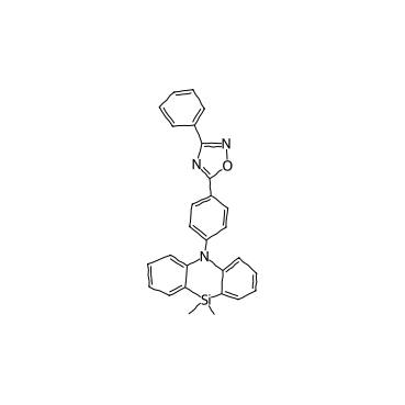 C[Si]1(C)c2ccccc2N(c2ccc(-c3nc(-c4ccccc4)no3)cc2)c2ccccc21